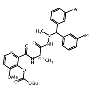 COc1ccnc(C(=O)N[C@@H](C)C(=O)NN(C)C(c2cccc(C(C)C)c2)c2cccc(C(C)C)c2)c1OC(=O)OCC(C)C